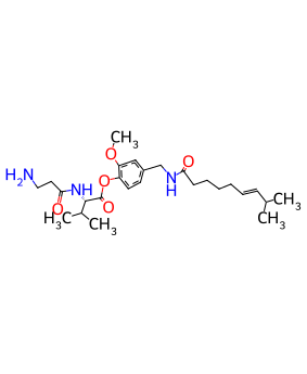 COc1cc(CNC(=O)CCCC/C=C/C(C)C)ccc1OC(=O)[C@@H](NC(=O)CCN)C(C)C